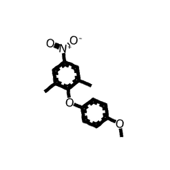 COc1ccc(Oc2c(C)cc([N+](=O)[O-])cc2C)cc1